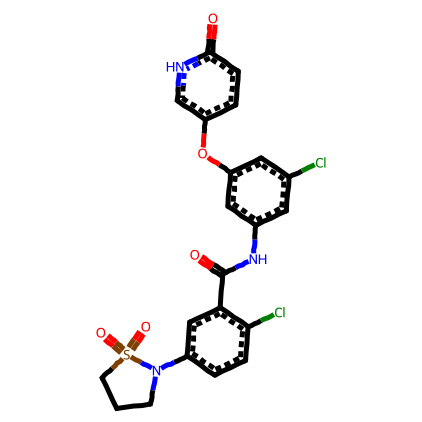 O=C(Nc1cc(Cl)cc(Oc2ccc(=O)[nH]c2)c1)c1cc(N2CCCS2(=O)=O)ccc1Cl